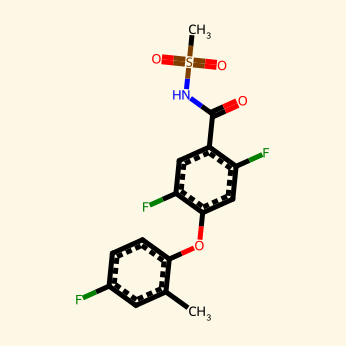 Cc1cc(F)ccc1Oc1cc(F)c(C(=O)NS(C)(=O)=O)cc1F